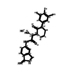 Cl.N=C1NCc2cc(NC(=O)[C@H](O)[C@H]3OCCN(c4cc(F)c(F)c(F)c4)C3=O)ccc21